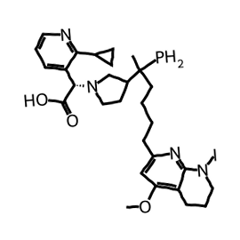 COc1cc(CCCCC(C)(P)C2CCN([C@H](C(=O)O)c3cccnc3C3CC3)C2)nc2c1CCCN2I